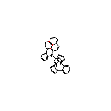 c1ccc(-c2ccccc2N(c2ccc3c(c2)-c2c4cccc2-c2cccc-3c2-c2ccccc2-4)c2ccc3ccccc3c2)cc1